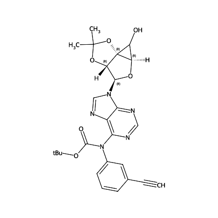 C#Cc1cccc(N(C(=O)OC(C)(C)C)c2ncnc3c2ncn3[C@@H]2O[C@@H]3C(O)[C@@]34OC(C)(C)O[C@@H]24)c1